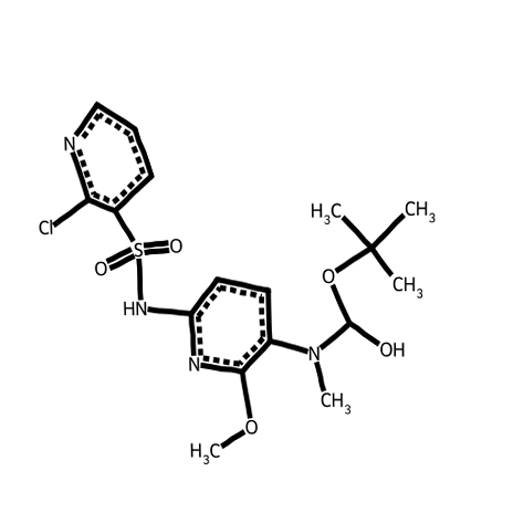 COc1nc(NS(=O)(=O)c2cccnc2Cl)ccc1N(C)C(O)OC(C)(C)C